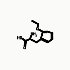 CCOc1ccccc1CC(N)C(=O)O